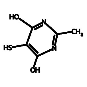 Cc1nc(O)c(S)c(O)n1